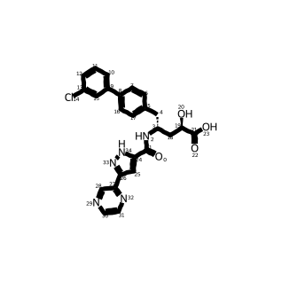 O=C(N[C@H](Cc1ccc(-c2cccc(Cl)c2)cc1)C[C@@H](O)C(=O)O)c1cc(-c2cnccn2)n[nH]1